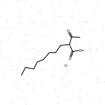 CCCCCCCCC(C(C)=O)C(=O)O.[Cr]